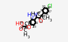 CC(C)(Oc1ccc(C(N)C(=O)C(C)(C)c2ccc(Cl)cc2)cc1)C(=O)O